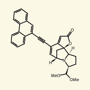 COC(OC)[C@@H]1CC[C@H]2N1[C@@H]1C=C(C#Cc3cc4ccccc4c4ccccc34)C3=CC(=O)O[C@@]32C1